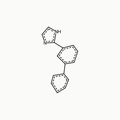 [c]1ccc(-c2ccccc2)cc1-c1ncc[nH]1